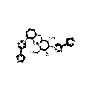 OC[C@H]1O[C@@H](S[C@@H]2CCC[C@H](n3cc(-c4ccsc4)nn3)[C@H]2O)[C@H](O)[C@@H](n2cc(-c3ccsc3)nn2)[C@H]1O